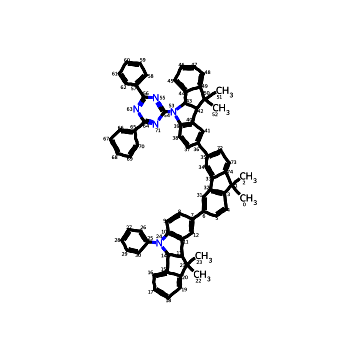 CC1(C)c2ccc(-c3ccc4c(c3)C3C(c5ccccc5C3(C)C)N4c3ccccc3)cc2-c2cc(-c3ccc4c(c3)C3C(c5ccccc5C3(C)C)N4c3nc(-c4ccccc4)nc(-c4ccccc4)n3)ccc21